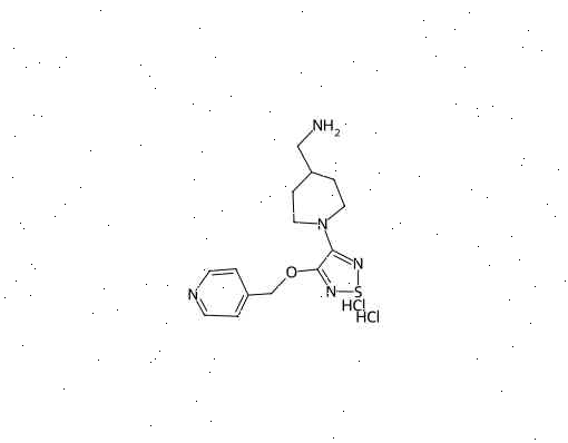 Cl.Cl.NCC1CCN(c2nsnc2OCc2ccncc2)CC1